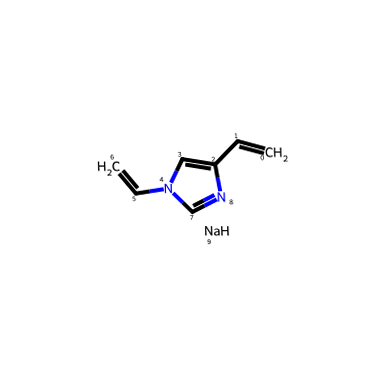 C=Cc1cn(C=C)cn1.[NaH]